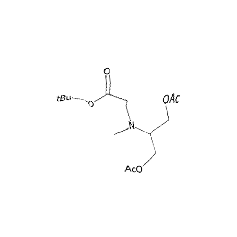 CC(=O)OCC(COC(C)=O)N(C)CC(=O)OC(C)(C)C